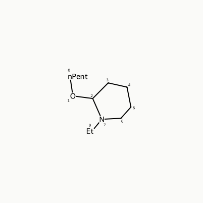 CCCCCOC1CCCCN1CC